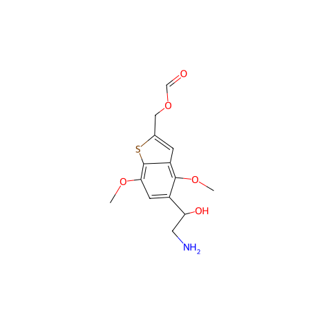 COc1c(C(O)CN)cc(OC)c2sc(COC=O)cc12